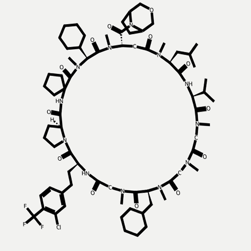 CC(C)C[C@H]1C(=O)N[C@@H](C(C)C)C(=O)N(C)CC(=O)N(C)CC(=O)N(C)[C@@H](CC2CCCCC2)C(=O)N(C)CC(=O)N[C@@H](CCc2ccc(C(F)(F)F)c(Cl)c2)C(=O)N2CCC[C@H]2C(=O)NC2(CCCC2)C(=O)N(C)[C@@H](C2CCCCC2)C(=O)N(C)[C@H](C(=O)N2C3CCC2COC3)CC(=O)N1C